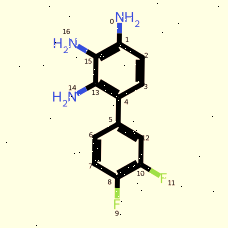 Nc1ccc(-c2ccc(F)c(F)c2)c(N)c1N